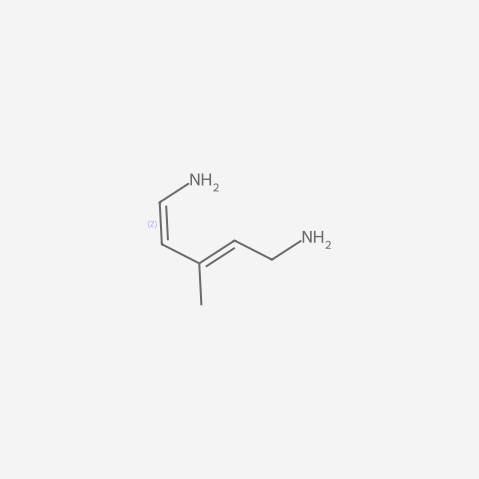 CC(=CCN)/C=C\N